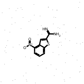 N=C(N)c1cc2c([N+](=O)[O-])cccc2s1